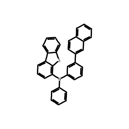 c1ccc(N(c2cccc(-c3ccc4ccccc4c3)c2)c2cccc3c2sc2ccccc23)cc1